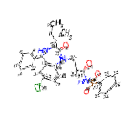 CC[C@H](C)[C@@H]1NC(c2ccccc2)c2cc(Cl)ccc2N(CCC(=O)NS(=O)(=O)c2ccccc2)C1=O